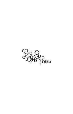 CC1=C(C(=O)OCC(Cl)(Cl)Cl)N2C(=O)C(NC(=O)C(NC(=O)OC(C)(C)C)Oc3ccccc3)[C@@H]2SC1